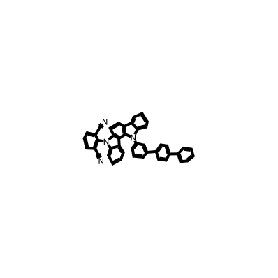 N#Cc1cccc(C#N)c1-n1c2ccccc2c2c1ccc1c3ccccc3n(-c3cccc(-c4ccc(-c5ccccc5)cc4)c3)c12